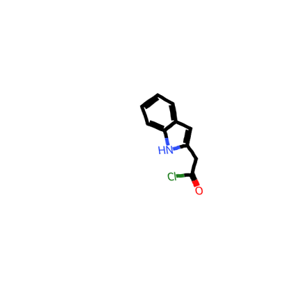 O=C(Cl)Cc1cc2ccccc2[nH]1